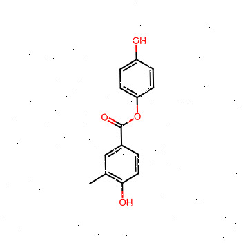 Cc1cc(C(=O)Oc2ccc(O)cc2)ccc1O